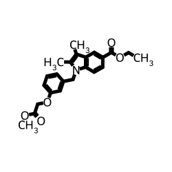 CCOC(=O)c1ccc2c(c1)c(C)c(C)n2Cc1cccc(OCC(=O)OC)c1